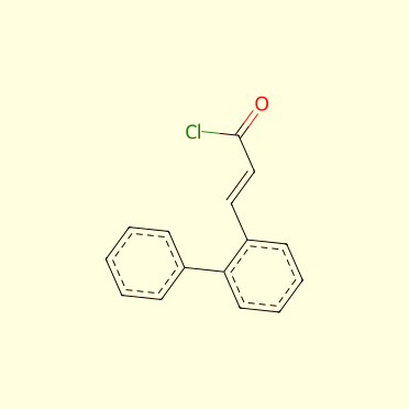 O=C(Cl)C=Cc1ccccc1-c1ccccc1